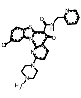 CN1CCN(c2ccc3c(=O)c(C(=O)NCc4ccccn4)c4sc5ccc(Cl)cc5n4c3n2)CC1